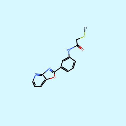 CCSCC(=O)Nc1cccc(-c2nc3ncccc3o2)c1